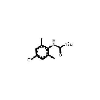 CCCCC(=O)Nc1c(C)cc(Cl)cc1C